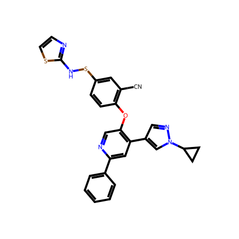 N#Cc1cc(SNc2nccs2)ccc1Oc1cnc(-c2ccccc2)cc1-c1cnn(C2CC2)c1